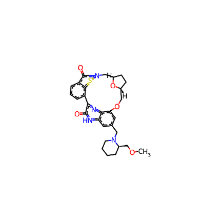 COC[C@H]1CCCCN1Cc1cc2c3nc(c(=O)[nH]c3c1)-c1cccc3c(=O)n(sc13)C[C@@H]1CC[C@H](CO2)O1